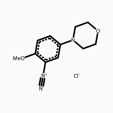 COc1ccc(N2CCOCC2)cc1[N+]#N.[Cl-]